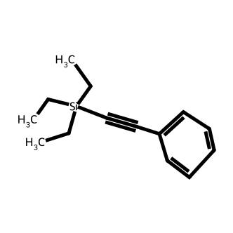 CC[Si](C#Cc1ccccc1)(CC)CC